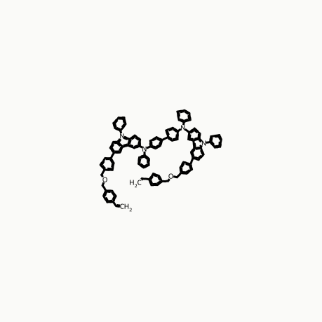 C=Cc1ccc(COCc2ccc(-c3ccc4c(c3)c3cc(N(c5ccccc5)c5ccc(-c6ccc(N(c7ccccc7)c7ccc8c(c7)c7cc(-c9ccc(COCc%10ccc(C=C)cc%10)cc9)ccc7n8-c7ccccc7)cc6)cc5)ccc3n4-c3ccccc3)cc2)cc1